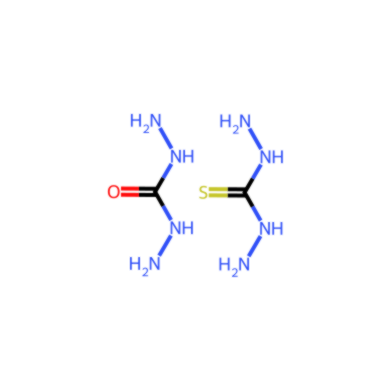 NNC(=O)NN.NNC(=S)NN